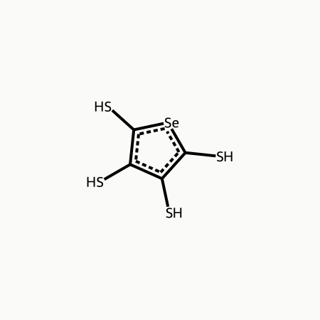 Sc1[se]c(S)c(S)c1S